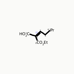 CCOC(=O)/C(=C\CC(C)C)C(=O)O